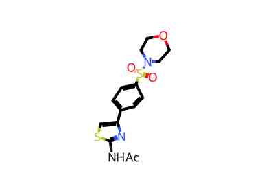 CC(=O)Nc1nc(-c2ccc(S(=O)(=O)N3CCOCC3)cc2)cs1